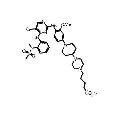 COc1cc(N2CCC(N3CCN(CCCCC(=O)O)CC3)CC2)ccc1Nc1ncc(Cl)c(Nc2ccccc2N(C)S(C)(=O)=O)n1